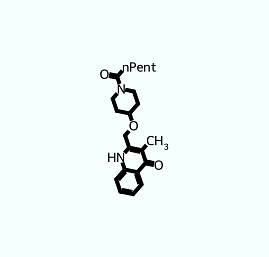 CCCCCC(=O)N1CCC(OCc2[nH]c3ccccc3c(=O)c2C)CC1